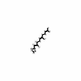 CC(C)=CCC/C(C)=C/CC/C(C)=C/C1SCS1